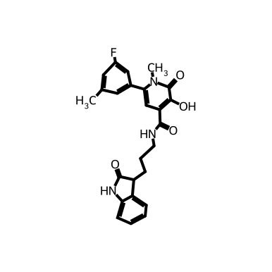 Cc1cc(F)cc(-c2cc(C(=O)NCCCC3C(=O)Nc4ccccc43)c(O)c(=O)n2C)c1